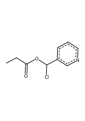 CCC(=O)OC(Cl)c1cccnc1